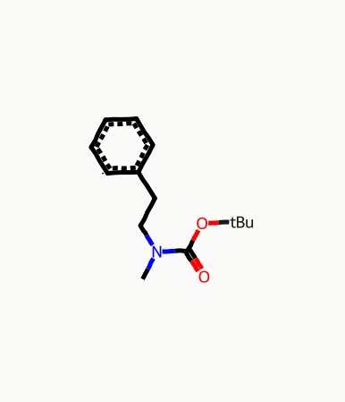 CN(CCc1[c]cccc1)C(=O)OC(C)(C)C